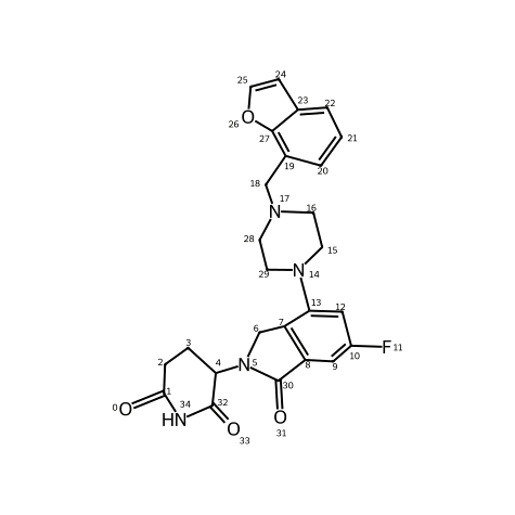 O=C1CCC(N2Cc3c(cc(F)cc3N3CCN(Cc4cccc5ccoc45)CC3)C2=O)C(=O)N1